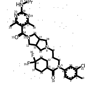 Cc1ccc(N(CCCN2CC3CN(C(=O)c4c(C)nc(NC(C)C)nc4C)CC3C2)C(=O)C2CCC(F)(F)CC2)cc1Cl